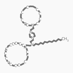 CCCCCCCCCCCCCCN(CCN1CCCCCCCCCCCCCCCCCCCCCCCCCC1)CCN1CCN(CCN2CCCCCCCCCCCCCCCCCCCCCC2)CC1